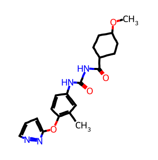 COC1CCC(C(=O)NC(=O)Nc2ccc(Oc3cccnn3)c(C)c2)CC1